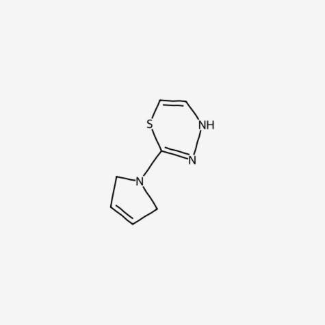 C1=CCN(C2=NNC=CS2)C1